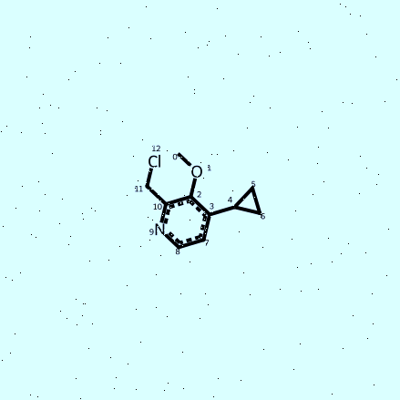 COc1c(C2CC2)ccnc1CCl